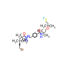 CC(C)(C#CCBr)CC(C)(C)C(=O)N/N=C/c1ccc(C(=O)NC(C)(C)CCOC(C)(C)CCSF)cc1